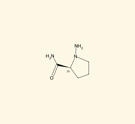 NC(=O)[C@@H]1CCCN1N